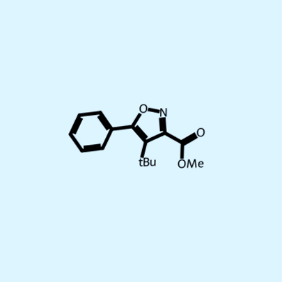 COC(=O)c1noc(-c2ccccc2)c1C(C)(C)C